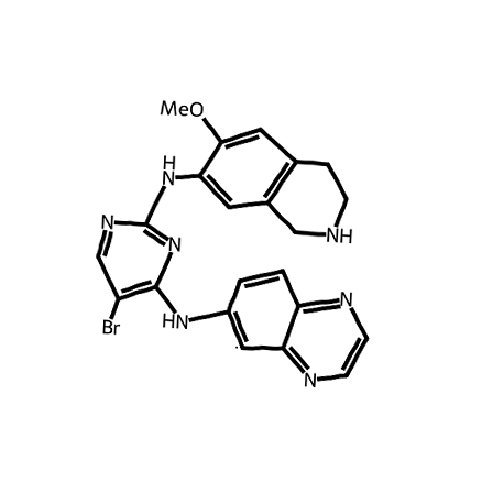 COc1cc2c(cc1Nc1ncc(Br)c(Nc3[c]c4nccnc4cc3)n1)CNCC2